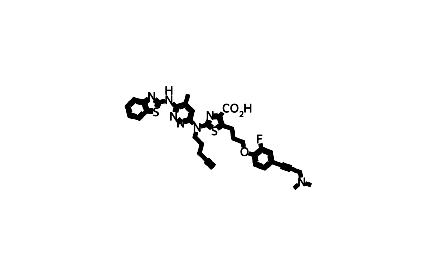 C#CCCCN(c1cc(C)c(Nc2nc3ccccc3s2)nn1)c1nc(C(=O)O)c(CCCOc2ccc(C#CCN(C)C)cc2F)s1